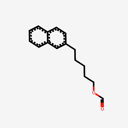 O=COCCCCCc1ccc2ccccc2c1